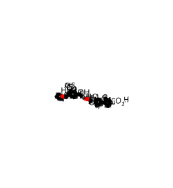 CS(=O)(=O)Nc1cc([C@H](O)CNCCOc2ccc(-c3ccc(C(=O)O)cc3C(=O)O)cc2)ccc1OCc1ccccc1